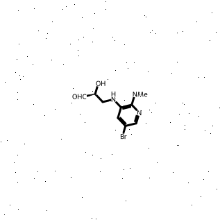 CNc1ncc(Br)cc1NC[C@H](O)C=O